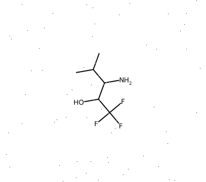 CC(C)C(N)C(O)C(F)(F)F